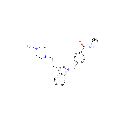 CNC(=O)c1ccc(Cn2cc(CCN3CCN(C)CC3)c3ccccc32)cc1